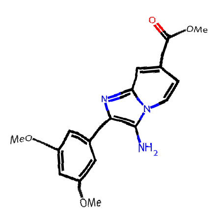 COC(=O)c1ccn2c(N)c(-c3cc(OC)cc(OC)c3)nc2c1